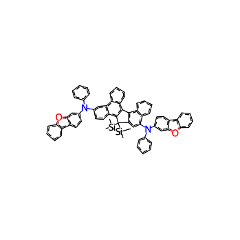 C[Si](C)(C)C1([Si](C)(C)C)c2cc(N(c3ccccc3)c3ccc4c(c3)oc3ccccc34)c3ccccc3c2-c2c1c1ccc(N(c3ccccc3)c3ccc4c(c3)oc3ccccc34)cc1c1ccccc21